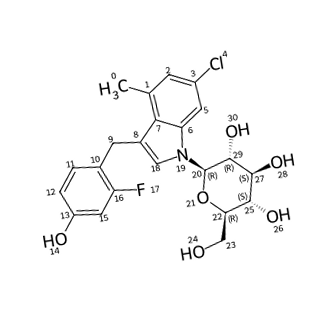 Cc1cc(Cl)cc2c1c(Cc1ccc(O)cc1F)cn2[C@@H]1O[C@H](CO)[C@@H](O)[C@H](O)[C@H]1O